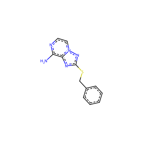 Nc1nccn2nc(SCc3ccccc3)nc12